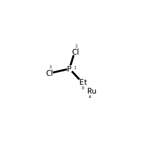 CCP(Cl)Cl.[Ru]